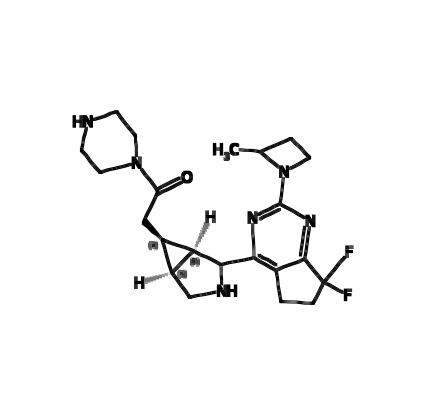 CC1CCN1c1nc(C2NC[C@H]3[C@@H](CC(=O)N4CCNCC4)[C@@H]23)c2c(n1)C(F)(F)CC2